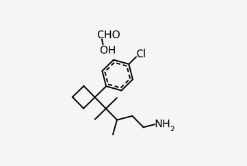 CC(CCN)C(C)(C)C1(c2ccc(Cl)cc2)CCC1.O=CO